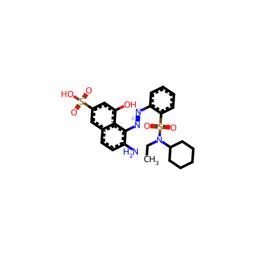 CCN(C1CCCCC1)S(=O)(=O)c1ccccc1/N=N/c1c(N)ccc2cc(S(=O)(=O)O)cc(O)c12